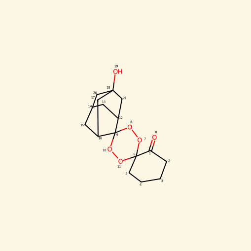 O=C1CCCCC12OOC1(OO2)C2CC3CC1CC(O)(C3)C2